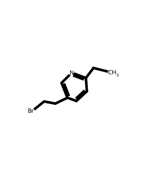 CCc1ccc(CCBr)cn1